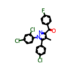 Cc1c(C(=O)c2ccc(F)cc2)nn(-c2ccc(Cl)cc2Cl)c1-c1ccc(Cl)cc1